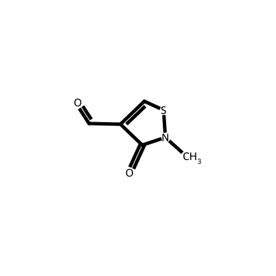 Cn1scc(C=O)c1=O